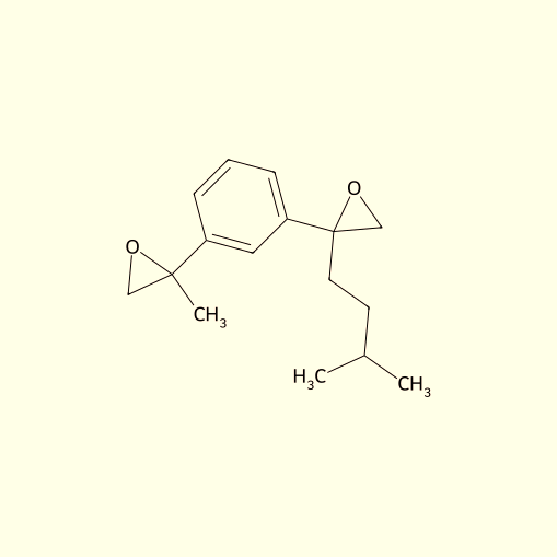 CC(C)CCC1(c2cccc(C3(C)CO3)c2)CO1